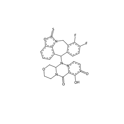 O=C1c2c(O)c(=O)ccn2N(C2c3ccc(F)c(F)c3Cn3c(=S)oc4cccc2c43)C2COCCN12